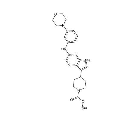 CC(C)(C)OC(=O)N1CCC(c2c[nH]c3cc(Nc4cccc(N5CCOCC5)c4)ccc23)CC1